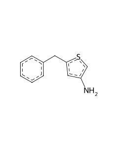 Nc1csc(Cc2ccccc2)c1